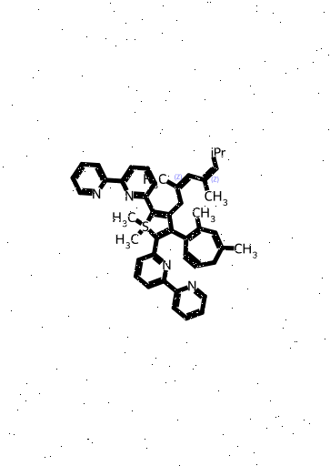 CC1=CC(C)=C(C2=C(c3cccc(-c4ccccn4)n3)S(C)(C)C(c3cccc(-c4ccccn4)n3)=C2C/C(C)=C\C(C)=C/C(C)C)C#CC1